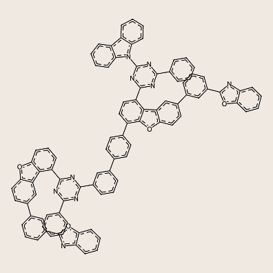 c1ccc(-c2nc(-c3cccc(-c4ccc(-c5ccc(-c6nc(-c7ccccc7)nc(-n7c8ccccc8c8ccccc87)n6)c6c5oc5ccc(-c7cccc(-c8nc9ccccc9o8)c7)cc56)cc4)c3)nc(-c3cccc4oc5ccc(-c6cccc(-c7nc8ccccc8o7)c6)cc5c34)n2)cc1